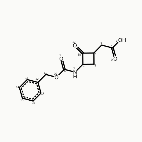 O=C(O)CC1CC(NC(=O)OCc2ccccc2)C1=O